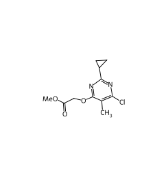 COC(=O)COc1nc(C2CC2)nc(Cl)c1C